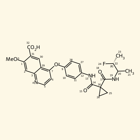 COc1cc2nccc(Oc3ccc(NC(=O)C4(C(=O)NC(C)[C@@H](C)F)CC4)cc3)c2cc1C(=O)O